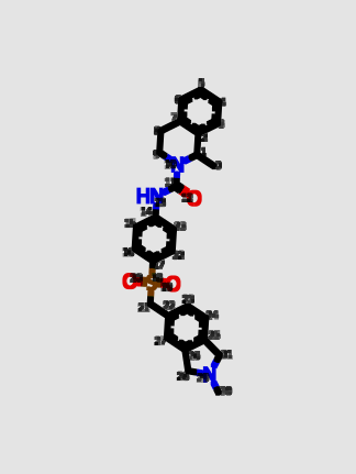 CC1c2ccccc2CCN1C(=O)Nc1ccc(S(=O)(=O)Cc2ccc3c(c2)CN(C)C3)cc1